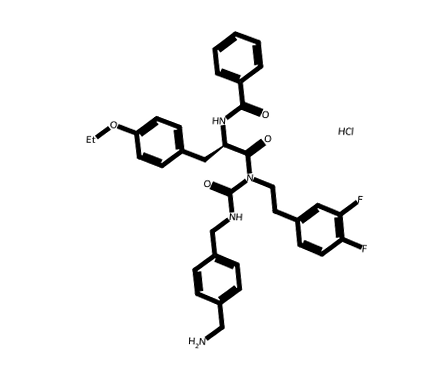 CCOc1ccc(C[C@@H](NC(=O)c2ccccc2)C(=O)N(CCc2ccc(F)c(F)c2)C(=O)NCc2ccc(CN)cc2)cc1.Cl